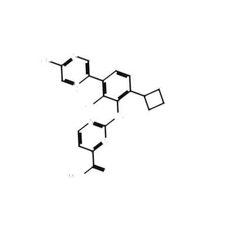 COC(=O)c1ccnc(Oc2c(C3CCC3)ccc(-c3cnc(N)cn3)c2F)n1